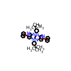 CC(C)(C)c1ccc2c(c1)N(c1ccc(-c3ccccc3)nc1)/C(=C1\N(c3ccc(-c4ccccc4)nc3)c3ccc(C(C)(C)C)cc3N1c1ccc(-c3ccccc3)nc1)N2c1ccc(-c2ccccc2)nc1